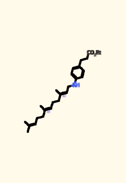 CCOC(=O)CCc1ccc(NC/C=C(\C)CC/C=C(\C)CCC=C(C)C)cc1